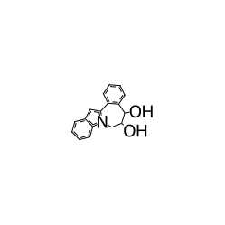 OC1Cn2c(cc3ccccc32)-c2ccccc2C1O